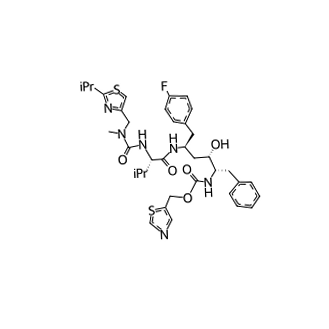 CC(C)c1nc(CN(C)C(=O)N[C@H](C(=O)N[C@@H](Cc2ccc(F)cc2)C[C@H](O)[C@H](Cc2ccccc2)NC(=O)OCc2cncs2)C(C)C)cs1